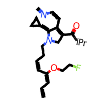 C=C/C=C(\C=C/CCN1CC(C(=O)C(C)C)=C(/C=C\N=C)C1=C1CC1)OCCF